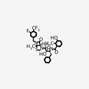 Cc1c(O)cccc1C(=O)N[C@@H](Cc1ccccc1)[C@H](O)C(=O)N1CSC2(C)[C@H]1C(=O)N2Cc1ccc(C(F)(F)F)c(F)c1